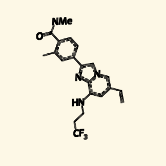 C=Cc1cc(NCCC(F)(F)F)c2nc(-c3ccc(C(=O)NC)c(C)c3)cn2c1